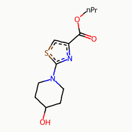 CCCOC(=O)c1csc(N2CCC(O)CC2)n1